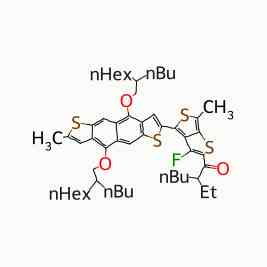 CCCCCCC(CCCC)COc1c2cc(C)sc2cc2c(OCC(CCCC)CCCCCC)c3cc(-c4sc(C)c5sc(C(=O)C(CC)CCCC)c(F)c45)sc3cc12